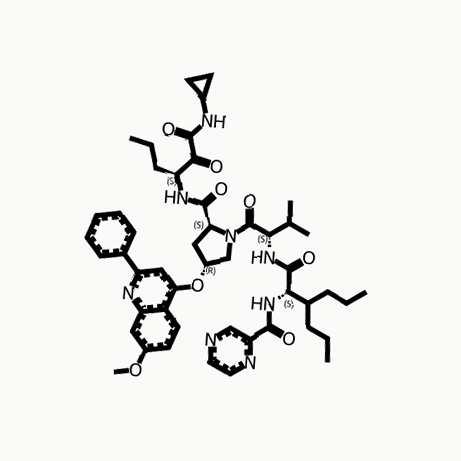 CCCC(CCC)[C@H](NC(=O)c1cnccn1)C(=O)N[C@H](C(=O)N1C[C@H](Oc2cc(-c3ccccc3)nc3cc(OC)ccc23)C[C@H]1C(=O)N[C@@H](CCC)C(=O)C(=O)NC1CC1)C(C)C